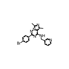 Cc1nc(C)n2nc(-c3ccc(Br)cc3)nc(NCc3cccnc3)c12